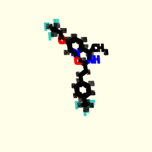 C[C@@H](NC(=O)CCc1ccc(C(F)(F)F)cc1)c1ccc(OCC(F)(F)F)cn1